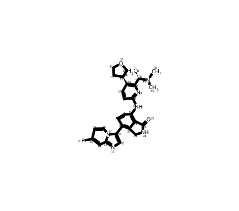 C[C@@H](c1nc(Nc2ccc(-c3cnc4cc(F)ccn34)c3c2C(=O)NC3)ccc1[C@H]1CCOC1)N(C)C